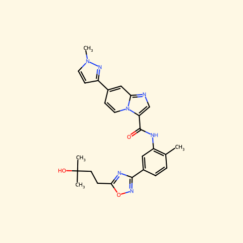 Cc1ccc(-c2noc(CCC(C)(C)O)n2)cc1NC(=O)c1cnc2cc(-c3ccn(C)n3)ccn12